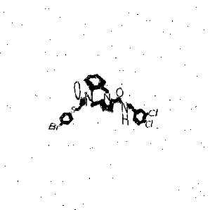 O=C(NCc1ccc(Cl)c(Cl)c1)c1ccc2n1Cc1ccccc1N(C(=O)CSc1ccc(Br)cc1)C2